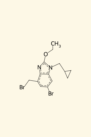 CCOc1nc2c(CBr)cc(Br)cc2n1CC1CC1